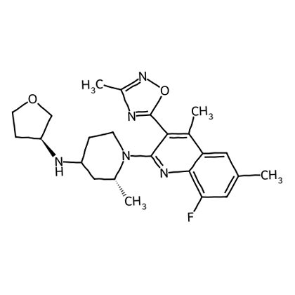 Cc1cc(F)c2nc(N3CCC(N[C@H]4CCOC4)C[C@H]3C)c(-c3nc(C)no3)c(C)c2c1